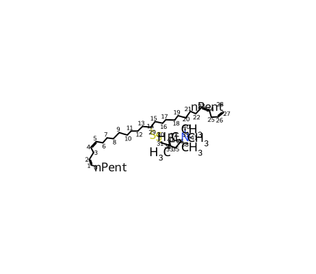 CCCCC/C=C\C/C=C\CCCCCCCCC(CCCCCCCC/C=C\C/C=C\CCCCC)SSCC(C)(CC)CC(C)(C)N(C)C